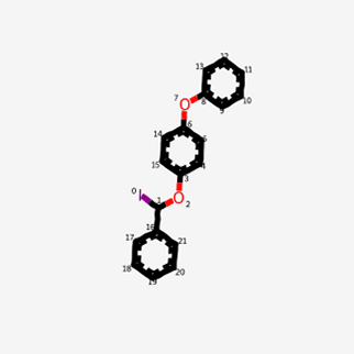 IC(Oc1ccc(Oc2ccccc2)cc1)c1ccccc1